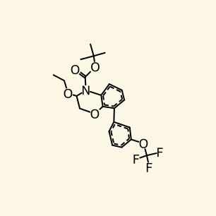 CCOC1COc2c(-c3cccc(OC(F)(F)F)c3)cccc2N1C(=O)OC(C)(C)C